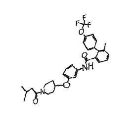 Cc1cccc(C(=O)Nc2cccc(OC3CCN(C(=O)CC(C)C)CC3)c2)c1-c1ccc(OC(F)(F)F)cc1